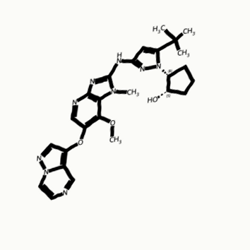 COc1c(Oc2cnn3ccncc23)cnc2nc(Nc3cc(C(C)(C)C)n([C@@H]4CCC[C@@H]4O)n3)n(C)c12